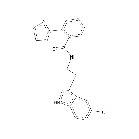 O=C(NCCc1c[nH]c2ccc(Cl)cc12)c1ccccc1-n1cccn1